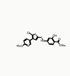 COC(=O)c1ccc(NSc2cc(-c3ccc(OC)nc3)c(Cl)s2)cc1O